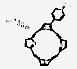 CN1C=CC(c2cc3cc4nc(cc5ccc(cc6nc(cc2[nH]3)C=C6)[nH]5)C=C4)=CC1.Cl.Cl.Cl.Cl.Cl